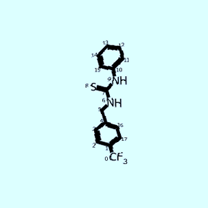 FC(F)(F)c1ccc(CNC(=S)Nc2ccccc2)cc1